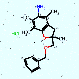 Cc1c(C)c2c(c(C)c1N)CC(C)(COCc1ccccc1)O2.Cl